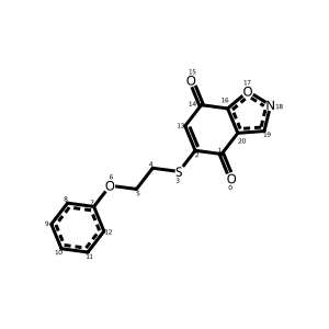 O=C1C(SCCOc2ccccc2)=CC(=O)c2oncc21